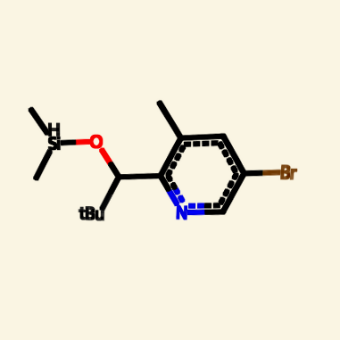 Cc1cc(Br)cnc1C(O[SiH](C)C)C(C)(C)C